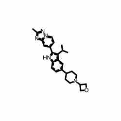 Cc1nc2cc(-c3[nH]c4ccc(C5CCN(C6COC6)CC5)cc4c3C(C)C)ccn2n1